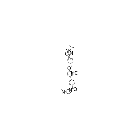 CC(C)c1noc(N2CCC(COc3ccc(C4=CCC(C(=O)N5CC[C@H](N(C)C)C5)CC4)cc3)CC2)n1.Cl